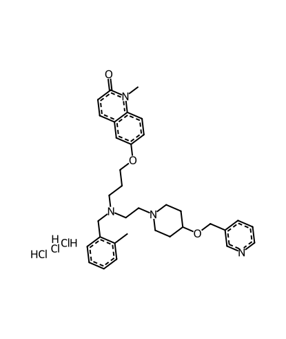 Cc1ccccc1CN(CCCOc1ccc2c(ccc(=O)n2C)c1)CCN1CCC(OCc2cccnc2)CC1.Cl.Cl.Cl